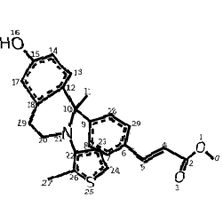 COC(=O)C=Cc1ccc(C2(C)c3ccc(O)cc3CCN2c2ccsc2C)cc1